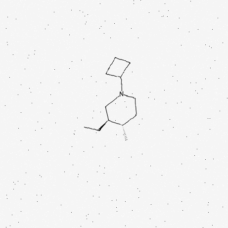 CC[C@H]1CN(C2CCC2)CC[C@@H]1C